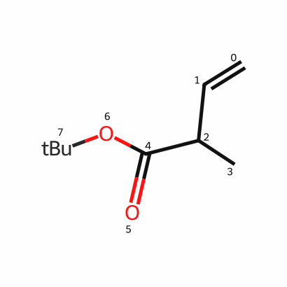 C=CC(C)C(=O)OC(C)(C)C